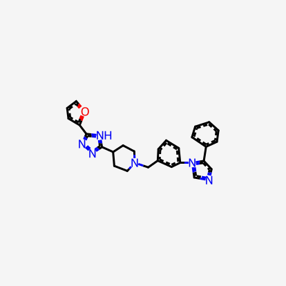 c1ccc(-c2cncn2-c2cccc(CN3CCC(c4nnc(-c5ccco5)[nH]4)CC3)c2)cc1